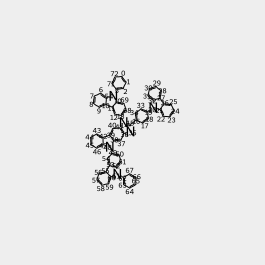 c1ccc(-n2c3ccccc3c3cc(-n4c(-c5ccc(-n6c7ccccc7c7ccccc76)cc5)nc5cc6c(cc54)c4ccccc4n6-c4ccc5c(c4)c4ccccc4n5-c4ccccc4)ccc32)cc1